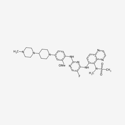 COc1cc(N2CCC(N3CCN(C)CC3)CC2)ccc1Nc1ncc(F)c(Nc2ccc3nccnc3c2N(C)S(C)(=O)=O)n1